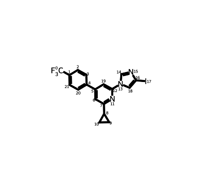 FC(F)(F)c1ccc(-c2cc(C3CC3)nc(-n3cnc(I)c3)c2)cc1